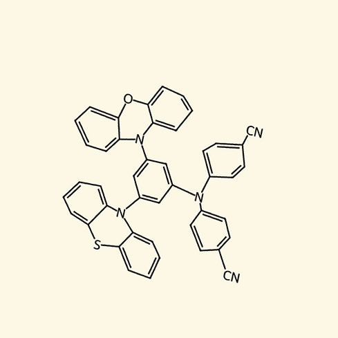 N#Cc1ccc(N(c2ccc(C#N)cc2)c2cc(N3c4ccccc4Oc4ccccc43)cc(N3c4ccccc4Sc4ccccc43)c2)cc1